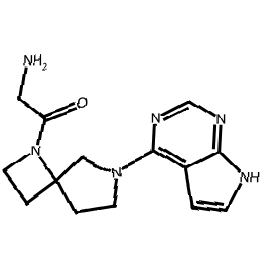 NCC(=O)N1CCC12CCN(c1ncnc3[nH]ccc13)C2